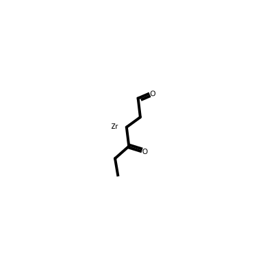 CCC(=O)CCC=O.[Zr]